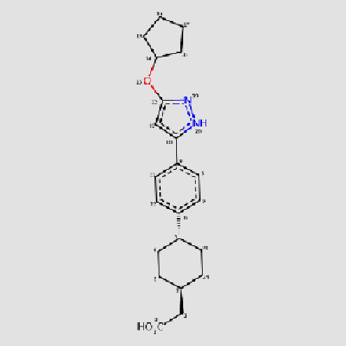 O=C(O)C[C@H]1CC[C@H](c2ccc(-c3cc(OC4CCCC4)n[nH]3)cc2)CC1